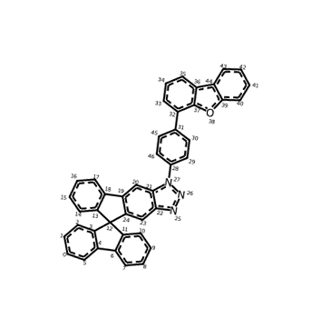 c1ccc2c(c1)-c1ccccc1C21c2ccccc2-c2cc3c(cc21)nnn3-c1ccc(-c2cccc3c2oc2ccccc23)cc1